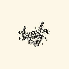 CC1(C)CC(n2c(=O)n(-c3cccc(N4C(=O)N(C5CC(C)(CN=C=O)CCC5(C)C)C(=O)N(c5cccc(N=C=O)c5)C4O)c3)c(=O)n(C3CC(C)(CN=C=O)CCC3(C)C)c2=O)CC(C)(CN=C=O)C1